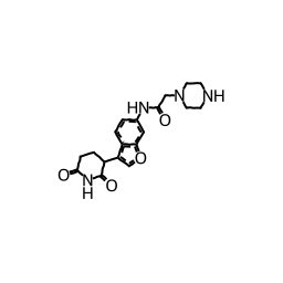 O=C1CCC(c2coc3cc(NC(=O)CN4CCNCC4)ccc23)C(=O)N1